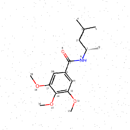 [CH2][C@@H](CC(C)C)NC(=O)c1cc(OC)c(OC)c(OC)c1